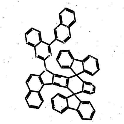 c1ccc2c(c1)-c1ccccc1C21c2ccccc2C2(c3ccccc3-c3ccccc32)c2cc3c(cc21)c1c2ccccc2ccc1n3-c1nc(-c2ccc3ccccc3c2)c2ccccc2n1